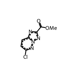 COC(=O)c1nc2ccc(Cl)nn2n1